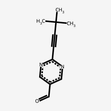 CC(C)(C)C#Cc1ncc(C=O)cn1